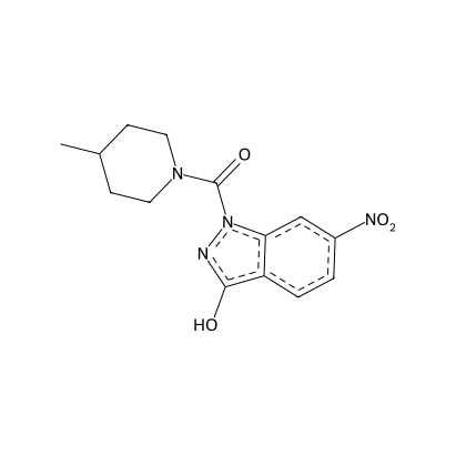 CC1CCN(C(=O)n2nc(O)c3ccc([N+](=O)[O-])cc32)CC1